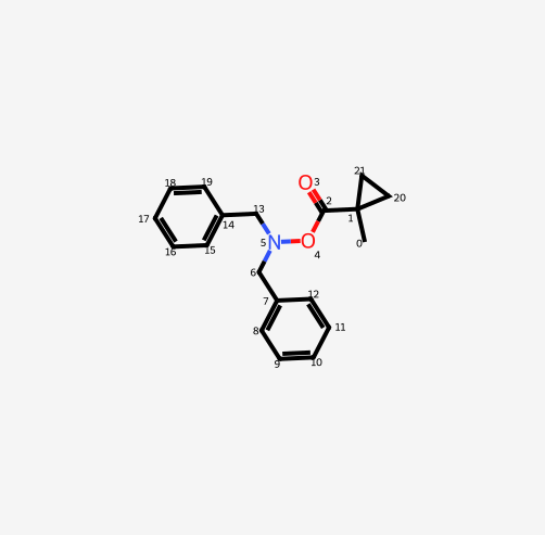 CC1(C(=O)ON(Cc2ccccc2)Cc2ccccc2)CC1